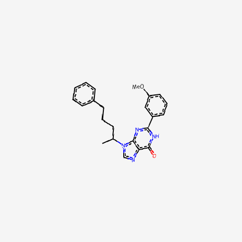 COc1cccc(-c2nc3c(ncn3C(C)CCCc3ccccc3)c(=O)[nH]2)c1